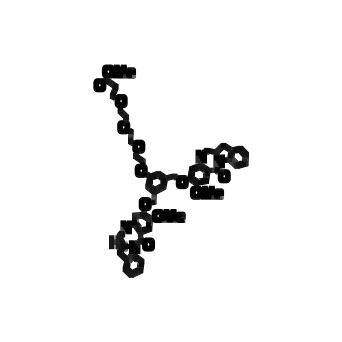 COC(=O)CCOCCOCCOCCOc1cc(COc2cc3c(cc2OC)C(=O)N2c4ccccc4CC2C=N3)cc(COc2cc3c(cc2OC)C(=O)N2c4ccccc4C[C@H]2C=N3)c1